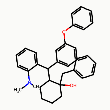 CN(C)c1ccccc1C(c1cccc(Oc2ccccc2)c1)C1CCCCC1(O)Cc1ccccc1